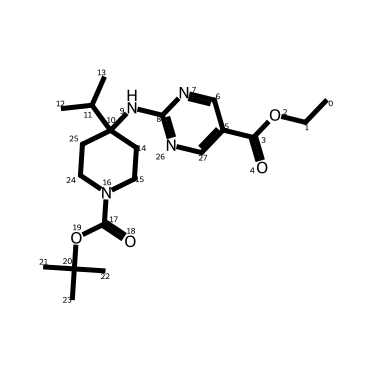 CCOC(=O)c1cnc(NC2(C(C)C)CCN(C(=O)OC(C)(C)C)CC2)nc1